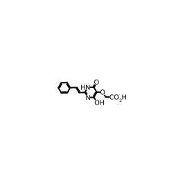 O=C(O)COc1c(O)nc(C=Cc2ccccc2)[nH]c1=O